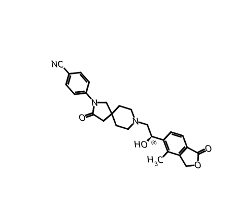 Cc1c([C@@H](O)CN2CCC3(CC2)CC(=O)N(c2ccc(C#N)cc2)C3)ccc2c1COC2=O